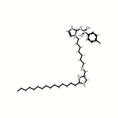 CCCCCCCCCCCCCCCC1OCC(COCCCCCCCN2C=CSC2OS(=O)(=O)c2ccc(C)cc2)O1